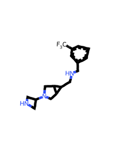 FC(F)(F)c1cccc(CNCC2C3CN(C4CNC4)CC23)c1